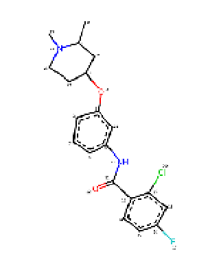 CC1CC(Oc2cccc(NC(=O)c3ccc(F)cc3Cl)c2)CCN1C